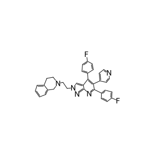 Fc1ccc(-c2nc3nn(CCN4CCc5ccccc5C4)cc3c(-c3ccc(F)cc3)c2-c2ccncc2)cc1